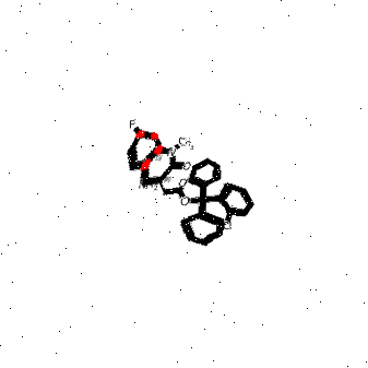 CN(C(=O)[C@@H](CC(=O)OC(c1ccccc1)(c1ccccc1)c1ccccc1Cl)Cc1ccccc1)[C@H](CN)CCF